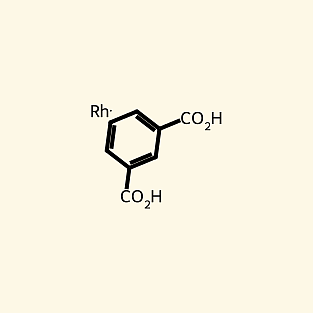 O=C(O)c1cccc(C(=O)O)c1.[Rh]